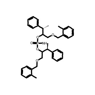 Cc1ccccc1COCC(OP(N)(=O)OC(COCc1ccccc1C)[C@@H](C)c1ccccc1)[C@@H](C)c1ccccc1